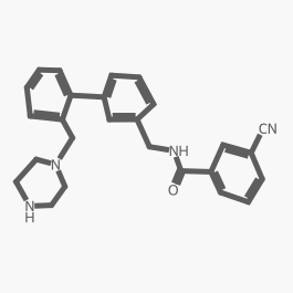 N#Cc1cccc(C(=O)NCc2cccc(-c3ccccc3CN3CCNCC3)c2)c1